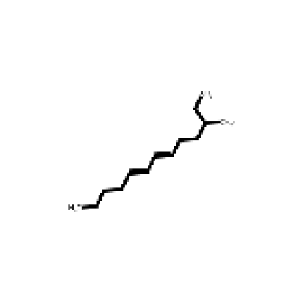 [CH2]C(CC)CC/C=C/C=C/CCCC